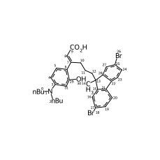 CCCCN(CCCC)c1ccc(/C(=C/C(=O)O)CCCC2(C)c3cc(Br)ccc3-c3ccc(Br)cc32)c(O)c1